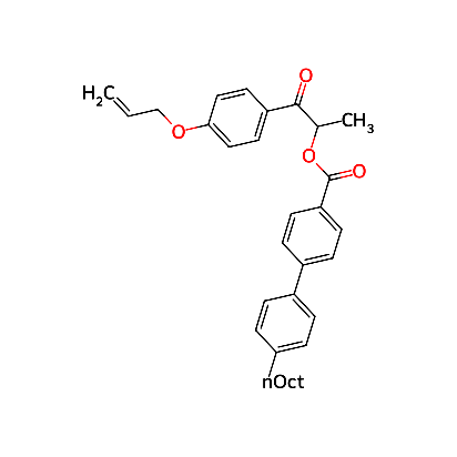 C=CCOc1ccc(C(=O)C(C)OC(=O)c2ccc(-c3ccc(CCCCCCCC)cc3)cc2)cc1